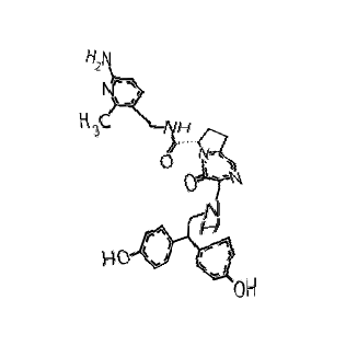 Cc1nc(N)ccc1CNC(=O)[C@@H]1CCc2cnc(NCC(c3ccc(O)cc3)c3ccc(O)cc3)c(=O)n21